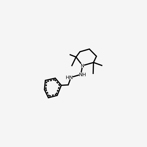 CC1(C)CCCC(C)(C)N1NNCc1ccccc1